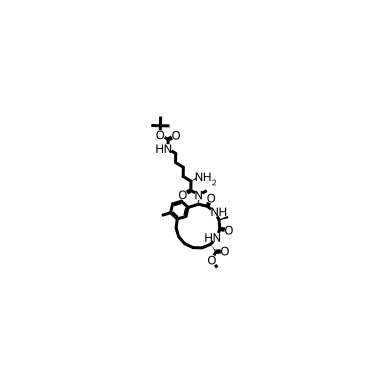 COC(=O)[C@@H]1CCCCCc2cc(ccc2C)[C@H](N(C)C(=O)[C@@H](N)CCCCNC(=O)OC(C)(C)C)C(=O)N[C@@H](C)C(=O)N1